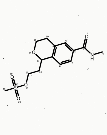 CNC(=O)c1ccc2c(c1)CCOC2CCOS(C)(=O)=O